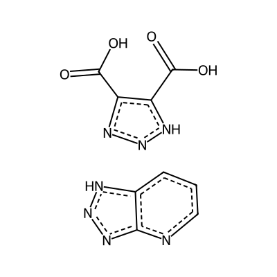 O=C(O)c1nn[nH]c1C(=O)O.c1cnc2nn[nH]c2c1